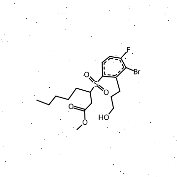 CCCCCC(CC(=O)OC)S(=O)(=O)c1ccc(F)c(Br)c1CCCO